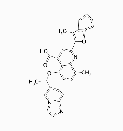 Cc1c(-c2cc(C(=O)O)c3c(OC(C)c4ccc5nccn5c4)ccc(C)c3n2)oc2ccccc12